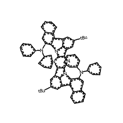 CC(C)(C)c1cc2c3nc4c(nc3n3c5c(N(c6ccccc6)c6ccccc6)cc6ccccc6c5c(c1)c23)c1cc(C(C)(C)C)cc2c3c5ccccc5cc(N(c5ccccc5)c5ccccc5)c3n4c12